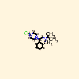 CC(C)N(C)CC(C1CCCCC1)N1CCN(Cl)CC1